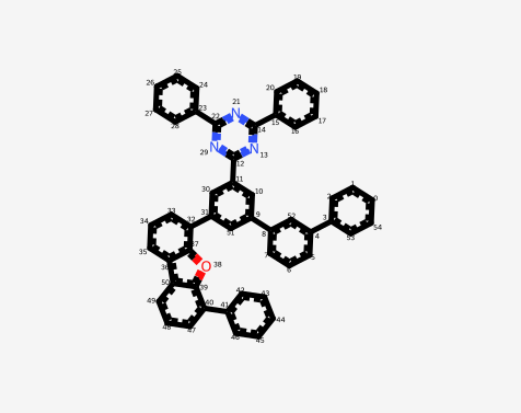 c1ccc(-c2cccc(-c3cc(-c4nc(-c5ccccc5)nc(-c5ccccc5)n4)cc(-c4cccc5c4oc4c(-c6ccccc6)cccc45)c3)c2)cc1